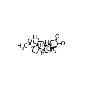 CC(=O)[C@H]1CC[C@H]2[C@@H]3CCC4=CC(=O)C(=O)C[C@]4(C)[C@H]3CC[C@]12C